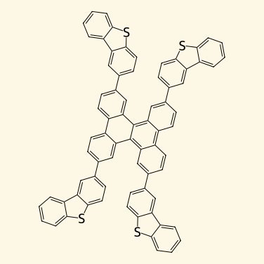 c1ccc2c(c1)sc1ccc(-c3ccc4c5ccc(-c6ccc7sc8ccccc8c7c6)cc5c5c6cc(-c7ccc8sc9ccccc9c8c7)ccc6c6ccc(-c7ccc8sc9ccccc9c8c7)cc6c5c4c3)cc12